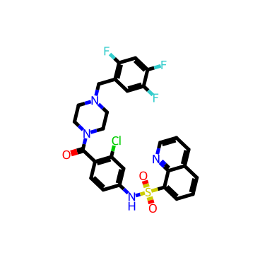 O=C(c1ccc(NS(=O)(=O)c2cccc3cccnc23)cc1Cl)N1CCN(Cc2cc(F)c(F)cc2F)CC1